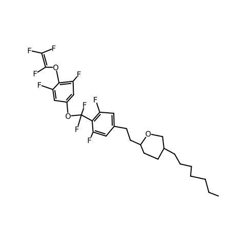 CCCCCCCC1CCC(CCc2cc(F)c(C(F)(F)Oc3cc(F)c(OC(F)=C(F)F)c(F)c3)c(F)c2)OC1